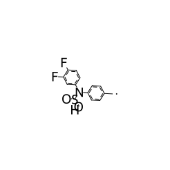 [CH2]c1ccc(N(c2ccc(F)c(F)c2)[SH](=O)=O)cc1